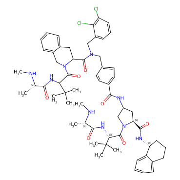 CN[C@@H](C)C(=O)NC(C(=O)N1Cc2ccccc2CC1C(=O)N(Cc1ccc(C(=O)NC2C[C@@H](C(=O)N[C@@H]3CCCc4ccccc43)N(C(=O)[C@@H](NC(=O)[C@H](C)NC)C(C)(C)C)C2)cc1)Cc1cccc(Cl)c1Cl)C(C)(C)C